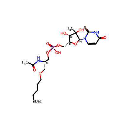 CCCCCCCCCCCCCCOC[C@@H](COP(=O)(O)OC[C@H]1O[C@@H](n2ccc(=O)[nH]c2=S)C(C)(O)[C@H]1O)NC(=O)C(F)(F)F